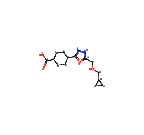 O=C(O)C1CCC(c2nnc(COCC3CC3)o2)CC1